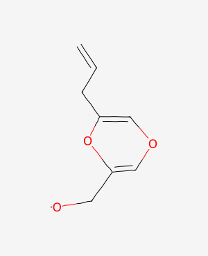 C=CCC1=COC=C(C[O])O1